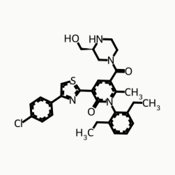 CCc1cccc(CC)c1-n1c(C)c(C(=O)N2CCN[C@H](CO)C2)cc(-c2nc(-c3ccc(Cl)cc3)cs2)c1=O